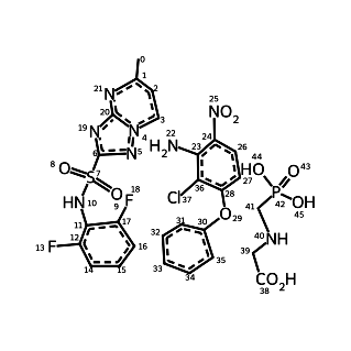 Cc1ccn2nc(S(=O)(=O)Nc3c(F)cccc3F)nc2n1.Nc1c([N+](=O)[O-])ccc(Oc2ccccc2)c1Cl.O=C(O)CNCP(=O)(O)O